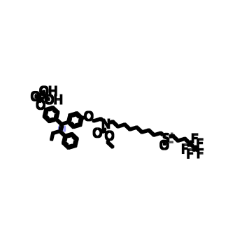 CCOC(=O)N(CCCCCCCCC[S+]([O-])CCCC(F)(F)C(F)(F)F)CCOc1ccc(/C(=C(/CC)c2ccccc2)c2ccc(OP(=O)(O)O)cc2)cc1